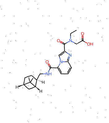 CCN(CC(=O)O)C(=O)c1cn2c(C(=O)NC[C@@H]3CC[C@H]4C[C@@H]3C4(C)C)cccc2n1